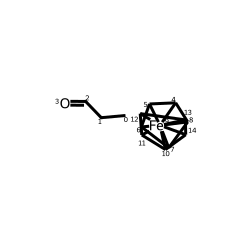 CCC=O.[CH]12[CH]3[CH]4[CH]5[CH]1[Fe]23451678[CH]2[CH]1[CH]6[CH]7[CH]28